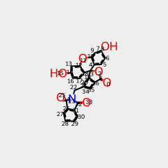 O=C1OC2(c3ccc(O)cc3Oc3cc(O)ccc32)c2cc(CN3C(=O)c4ccccc4C3=O)ccc21